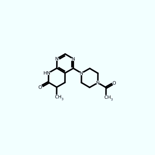 CC(=O)N1CCN(c2ncnc3c2CC(C)C(=O)N3)CC1